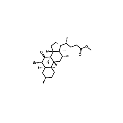 COC(=O)CC[C@@H](C)[C@H]1CC[C@H]2[C@@H]3C(=O)[C@H](Br)[C@@H]4C[C@H](C)CC[C@]4(C)[C@H]3C[C@H](C)[C@]12C